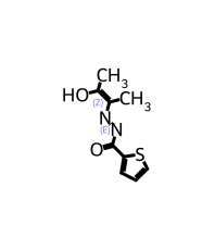 C/C(O)=C(C)/N=N/C(=O)c1cccs1